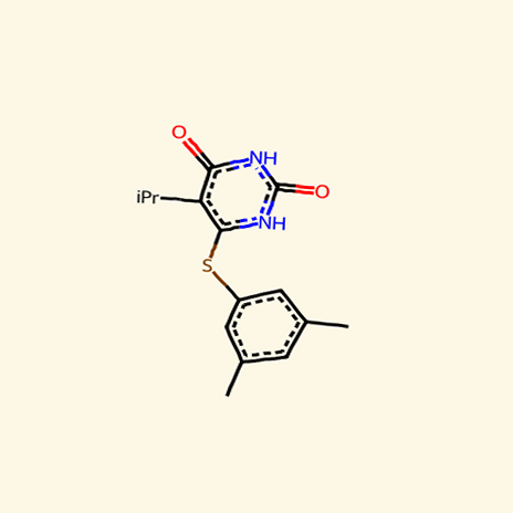 Cc1cc(C)cc(Sc2[nH]c(=O)[nH]c(=O)c2C(C)C)c1